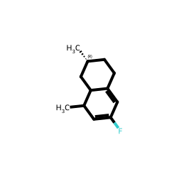 CC1C=C(F)C=C2CC[C@@H](C)CC21